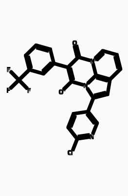 O=c1c(-c2cccc(C(F)(F)F)c2)c([O-])n2c(-c3ccc(Cl)nc3)cc3ccc[n+]1c32